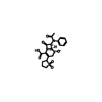 CC(=O)N(c1ccccc1)[C@@H]1C(=O)N2C(C(=O)O)=C(C3CCCS3(=O)=O)C[S+]([O-])[C@H]12